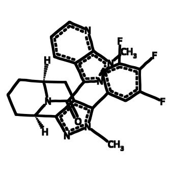 Cn1nc2c(c1-c1cc(F)c(F)c(F)c1)C[C@@H]1CCC[C@H]2N1C(=O)c1nn(C)c2ncccc12